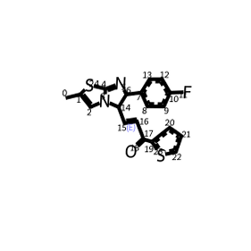 CC1=CN2C(=NC(c3ccc(F)cc3)C2/C=C/C(=O)c2cccs2)S1